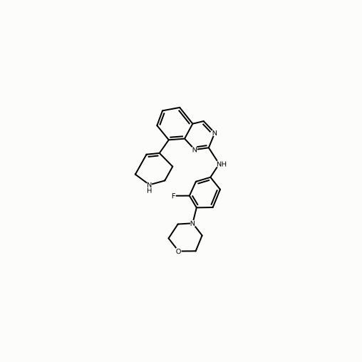 Fc1cc(Nc2ncc3cccc(C4=CCNCC4)c3n2)ccc1N1CCOCC1